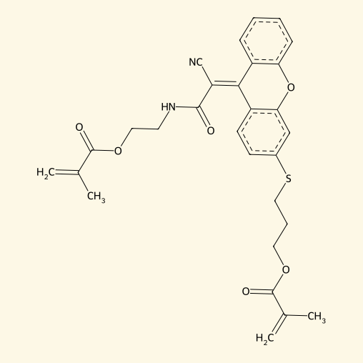 C=C(C)C(=O)OCCCSc1ccc2c(c1)Oc1ccccc1C2=C(C#N)C(=O)NCCOC(=O)C(=C)C